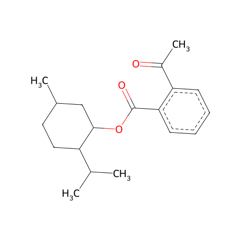 CC(=O)c1ccccc1C(=O)OC1CC(C)CCC1C(C)C